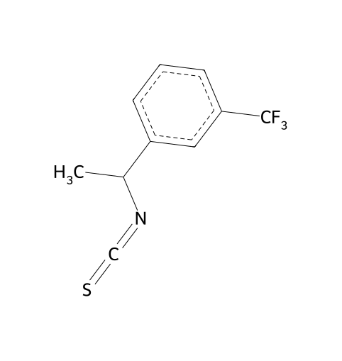 CC(N=C=S)c1cccc(C(F)(F)F)c1